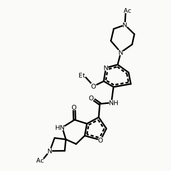 CCOc1nc(N2CCN(C(C)=O)CC2)ccc1NC(=O)c1coc2c1C(=O)NC1(C2)CN(C(C)=O)C1